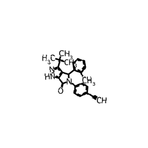 C#Cc1ccc(N2C(=O)c3[nH]nc(C(C)(C)C)c3C2c2ccccc2C)cc1